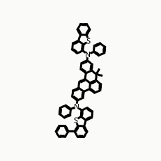 CC1(C)c2cc(N(c3ccccc3)c3cccc4c3sc3ccccc34)ccc2-c2cc3ccc(N(c4ccccc4)c4cccc5c4sc4c(-c6ccccc6)cccc45)cc3c3cccc1c23